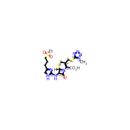 CCS(=O)(=O)CCCc1c[nH]c(NC2C(=O)N3C(C(=O)O)=C(CSc4nnnn4C)CS[C@@H]23)n1